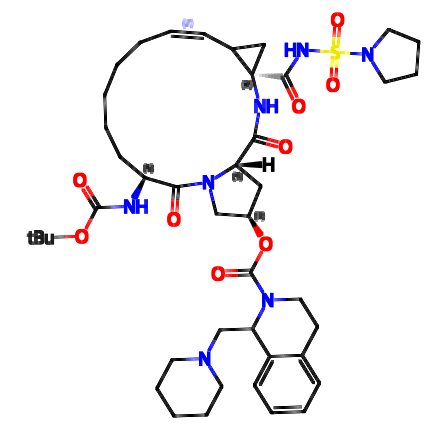 CC(C)(C)OC(=O)N[C@H]1CCCCC/C=C\C2C[C@@]2(C(=O)NS(=O)(=O)N2CCCC2)NC(=O)[C@@H]2C[C@@H](OC(=O)N3CCc4ccccc4C3CN3CCCCC3)CN2C1=O